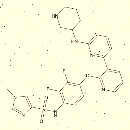 Cn1cnc(S(=O)(=O)Nc2ccc(Oc3ncccc3-c3ccnc(NC4CCCNC4)n3)c(F)c2F)c1